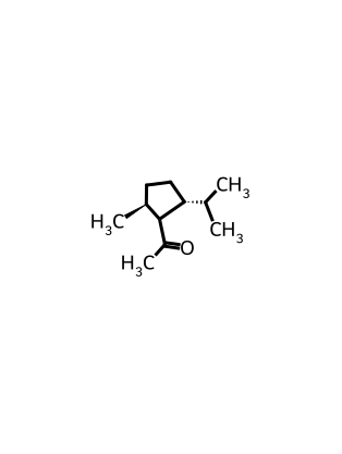 CC(=O)C1[C@@H](C(C)C)CC[C@@H]1C